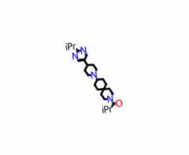 CC(C)C(=O)N1CCC2(CCC(N3CCC(c4cnc(C(C)C)nc4)CC3)CC2)CC1